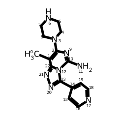 Cc1c(N2CCNCC2)nc(N)n2c(-c3ccncc3)nnc12